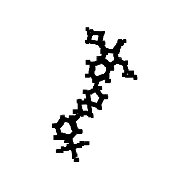 CCn1c(=O)n(C2COC2)c2ncc(N3CCC4(CN(c5ccnc(C(F)(F)F)c5)C4)C3)nc21